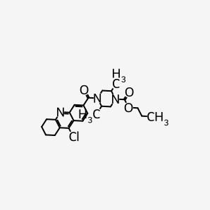 CCCOC(=O)N1CC(C)N(C(=O)c2ccc3c(Cl)c4c(nc3c2)CCCC4)CC1C